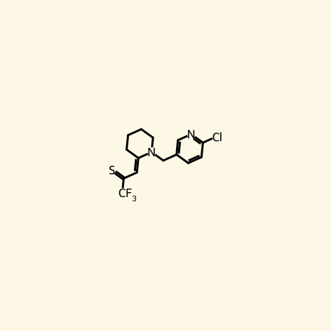 FC(F)(F)C(=S)/C=C1\CCCCN1Cc1ccc(Cl)nc1